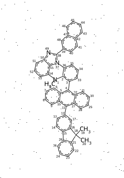 CN1c2c(-c3c4ccccc4c(-c4ccc5c(c4)C(C)(C)c4ccccc4-5)c4ccccc34)cccc2-n2c(-c3ccc4ccccc4c3)nc3cccc1c32